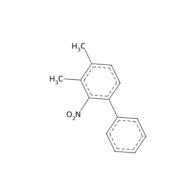 Cc1ccc(-c2ccccc2)c([N+](=O)[O-])c1C